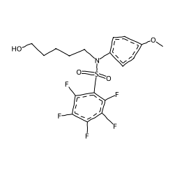 COc1ccc(N(CCCCCO)S(=O)(=O)c2c(F)c(F)c(F)c(F)c2F)cc1